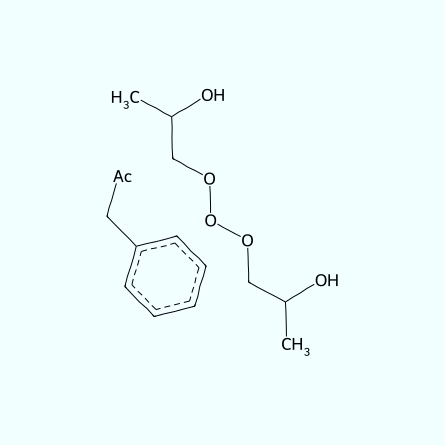 CC(=O)Cc1ccccc1.CC(O)COOOCC(C)O